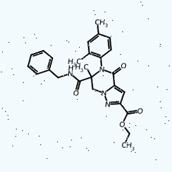 CCOC(=O)c1cc2n(n1)CC(C)(C(=O)NCc1ccccc1)N(c1ccc(C)cc1C)C2=O